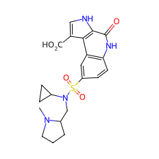 CN1CCCC1CN(C1CC1)S(=O)(=O)c1ccc2[nH]c(=O)c3[nH]cc(C(=O)O)c3c2c1